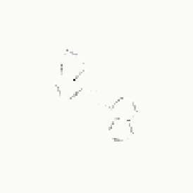 c1ccc2c(OOc3cccc4ccccc34)cccc2c1